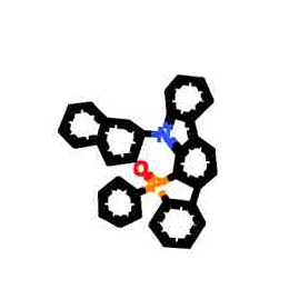 O=P1(c2ccccc2)c2ccccc2-c2ccc3c4ccccc4n(-c4ccc5ccccc5c4)c3c21